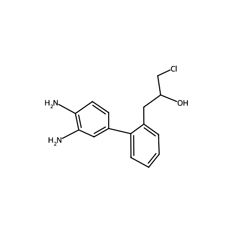 Nc1ccc(-c2ccccc2CC(O)CCl)cc1N